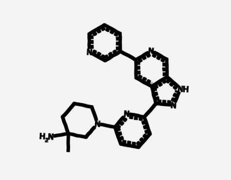 CC1(N)CCCN(c2cccc(-c3n[nH]c4cnc(-c5cccnc5)cc34)n2)C1